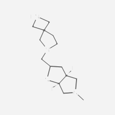 CN1C[C@H]2CC(CN3CCC4(CNC4)C3)N[C@H]2C1